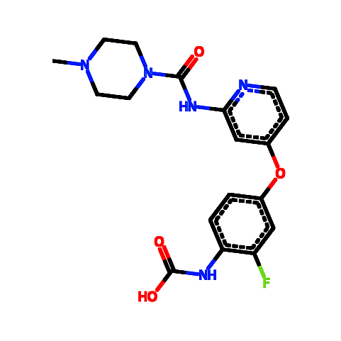 CN1CCN(C(=O)Nc2cc(Oc3ccc(NC(=O)O)c(F)c3)ccn2)CC1